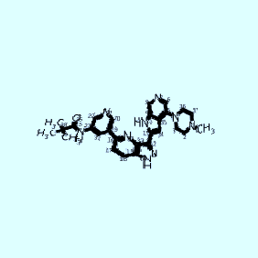 CN1CCN(c2cncc3[nH]c(-c4n[nH]c5ccc(-c6cncc(NC(=O)C(C)(C)C)c6)nc45)cc23)CC1